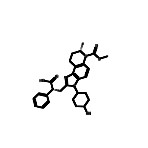 COC(=O)N1c2ccc3c(nc(C[C@@H](C(=O)O)c4ccccc4)n3C3CCC(O)CC3)c2CC[C@@H]1C